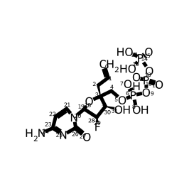 C=CC[C@]1(COP(=O)(O)OP(=O)(O)OP(=O)(O)O)OC(n2ccc(N)nc2=O)[C@H](F)[C@@H]1O